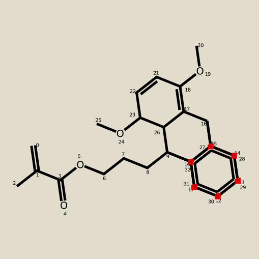 C=C(C)C(=O)OCCCC12c3ccccc3C(C3=C(OC)C=CC(OC)C31)c1ccccc12